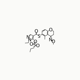 CCCS(=O)(=O)Oc1c(C(=O)Sc2ccc3c(c2C)C(=NOC)CCO3)cnn1CC